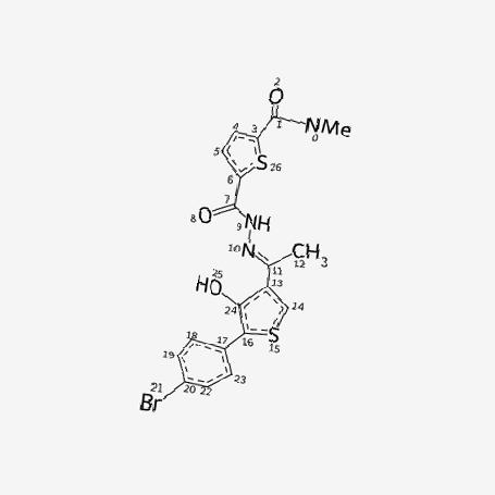 CNC(=O)c1ccc(C(=O)NN=C(C)c2csc(-c3ccc(Br)cc3)c2O)s1